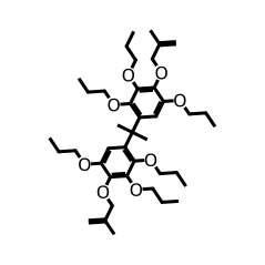 C=C(C)COc1c(OCCC)cc(C(C)(C)c2cc(OCCC)c(OCC(=C)C)c(OCCC)c2OCCC)c(OCCC)c1OCCC